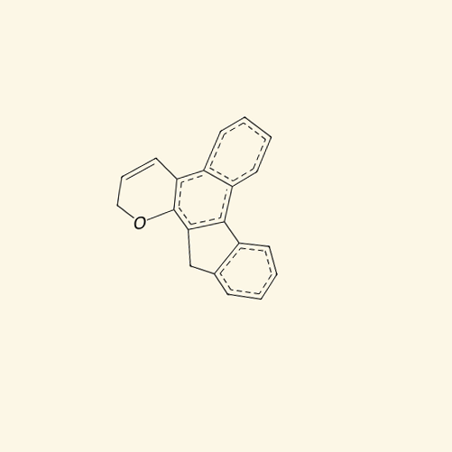 C1=Cc2c(c3c(c4ccccc24)-c2ccccc2C3)OC1